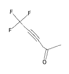 CC(=O)C#CC(F)(F)F